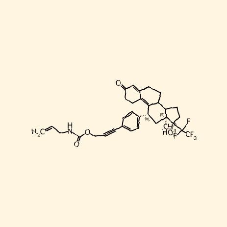 C=CCNC(=O)OCC#Cc1ccc([C@H]2C[C@@]3(C)C(CC[C@@]3(O)C(F)(F)C(F)(F)F)C3CCC4=CC(=O)CCC4=C32)cc1